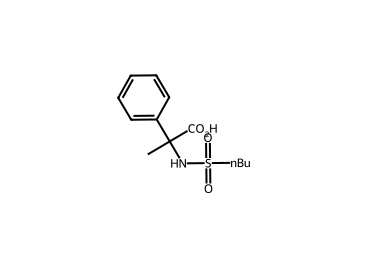 CCCCS(=O)(=O)NC(C)(C(=O)O)c1ccccc1